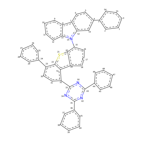 c1ccc(-c2ccc3c4ccccc4n(-c4cccc5c4sc4c(-c6ccccc6)ccc(-c6nc(-c7ccccc7)nc(-c7ccccc7)n6)c45)c3c2)cc1